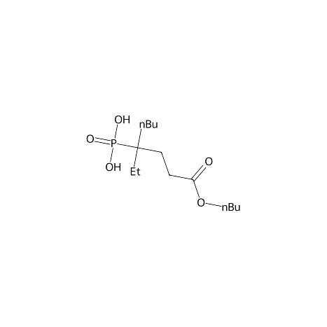 CCCCOC(=O)CCC(CC)(CCCC)P(=O)(O)O